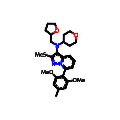 COc1cc(C)cc(OC)c1-c1cccc2c(N(CC3CCCO3)C3CCOCC3)c(SC)nn12